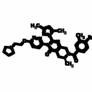 Cc1cc(C)n(-c2nc3c(c(=O)n2-c2ccc(OCCN4CCCC4)nn2)C[C@@H](C)N(C(=O)c2ccc(Br)c(C)c2)C3)n1